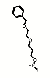 IPOCCCOCCOCc1ccccc1